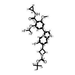 COc1cc(-c2cnc3cc(C4CN(C(=O)OC(C)(C)C)C4)c(F)cn23)cc(OC(F)F)c1C(=O)NC1CC1